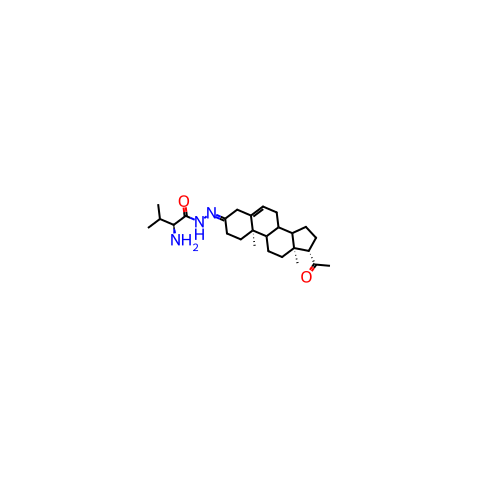 CC(=O)[C@H]1CCC2C3CC=C4C/C(=N/NC(=O)[C@@H](N)C(C)C)CC[C@]4(C)C3CC[C@@]21C